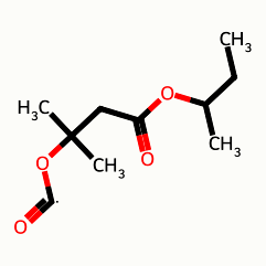 CCC(C)OC(=O)CC(C)(C)O[C]=O